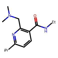 CCNC(=O)c1ccc(C(C)C)nc1CN(C)C